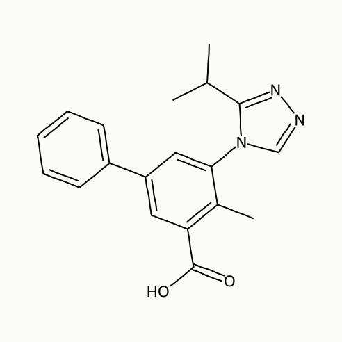 Cc1c(C(=O)O)cc(-c2ccccc2)cc1-n1cnnc1C(C)C